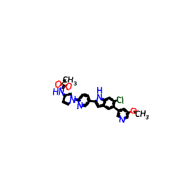 COc1cncc(-c2cc3cc(-c4ccc(N5CCC(NS(C)(=O)=O)C5)nc4)[nH]c3cc2Cl)c1